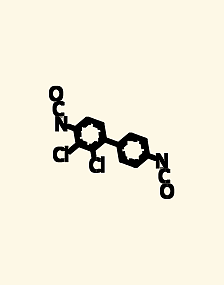 O=C=Nc1ccc(-c2ccc(N=C=O)c(Cl)c2Cl)cc1